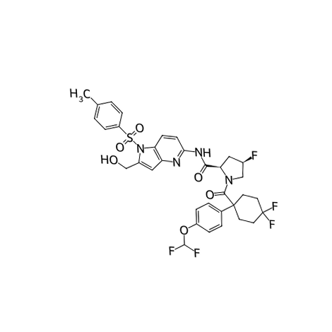 Cc1ccc(S(=O)(=O)n2c(CO)cc3nc(NC(=O)[C@H]4C[C@@H](F)CN4C(=O)C4(c5ccc(OC(F)F)cc5)CCC(F)(F)CC4)ccc32)cc1